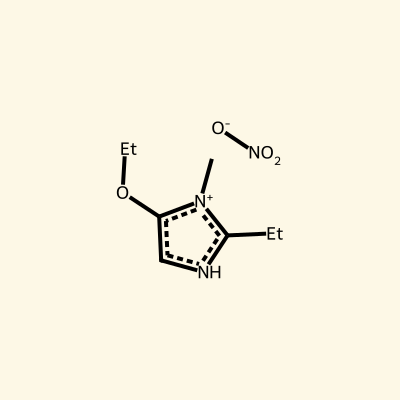 CCOc1c[nH]c(CC)[n+]1C.O=[N+]([O-])[O-]